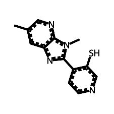 Cc1cnc2c(c1)nc(-c1ccncc1S)n2C